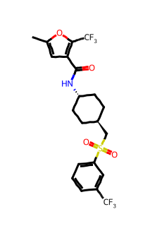 Cc1cc(C(=O)N[C@H]2CC[C@H](CS(=O)(=O)c3cccc(C(F)(F)F)c3)CC2)c(C(F)(F)F)o1